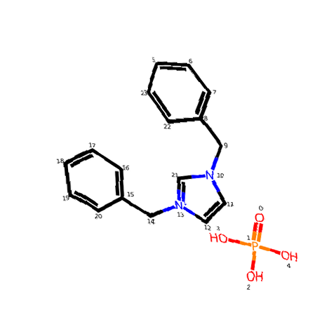 O=P(O)(O)O.c1ccc(Cn2cc[n+](Cc3ccccc3)c2)cc1